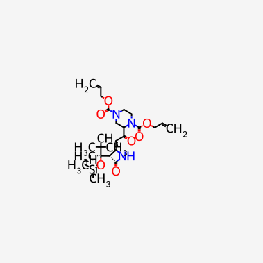 C=CCOC(=O)N1CCN(C(=O)OCC=C)C(C(=O)C[C@H]2NC(=O)[C@@H]2[C@@](C)(O[SiH](C)C)C(C)(C)C)C1